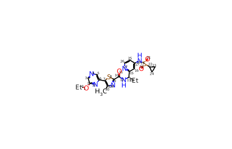 CCOc1cncc(-c2sc(C(=O)N[C@H](CC)c3cc(NS(=O)(=O)C4CC4)ccn3)nc2C)n1